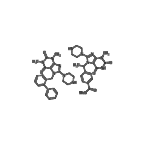 COC(=O)c1ccc(C(C)n2c(N3CCNCC3)nc3c2c(=O)[nH]c(=O)n3C)cc1.Cn1c(=O)c2c(nc(N3CCNCC3)n2Cc2ccccc2-c2ccccc2)n(C)c1=O